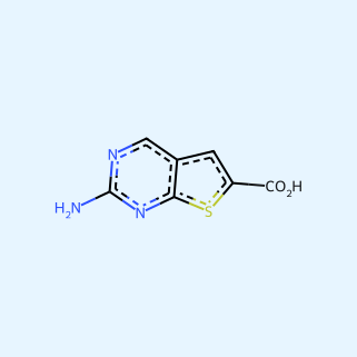 Nc1ncc2cc(C(=O)O)sc2n1